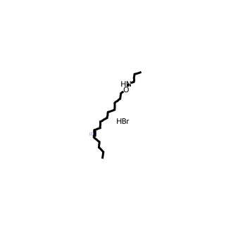 Br.CCCC/C=C\CCCCCCCCONCCC